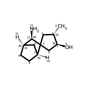 C[C@H]1CC2(C[C@@H]1O)[C@H]1CC[C@H](C1)[C@H]2N